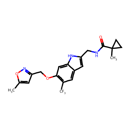 Cc1cc(COc2cc3[nH]c(CNC(=O)C4(C)CC4)cc3cc2C(F)(F)F)no1